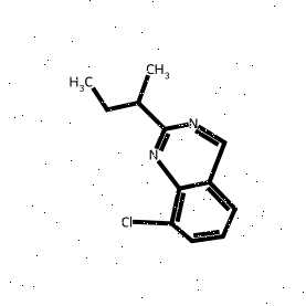 CCC(C)c1ncc2cccc(Cl)c2n1